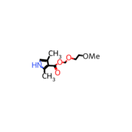 COCCOCOC(=O)c1c(C)c[nH]c1C